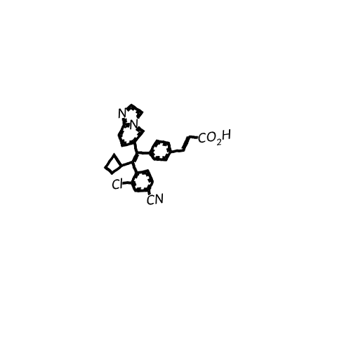 N#Cc1ccc(/C(=C(\c2ccc(/C=C/C(=O)O)cc2)c2ccc3nccn3c2)C2CCC2)c(Cl)c1